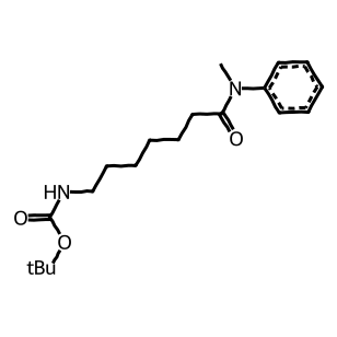 CN(C(=O)CCCCCCNC(=O)OC(C)(C)C)c1ccccc1